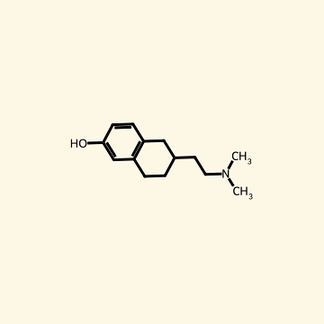 CN(C)CCC1CCc2cc(O)ccc2C1